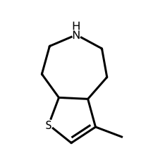 CC1=CSC2CCNCCC12